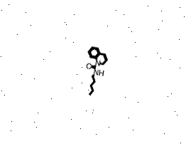 CCCCCNC(=O)N1CC=Cc2ccccc21